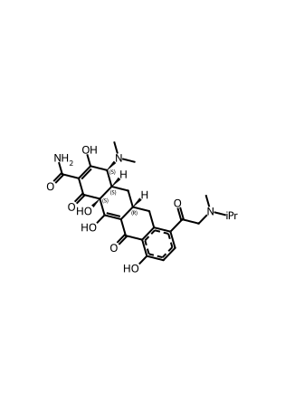 CC(C)N(C)CC(=O)c1ccc(O)c2c1C[C@H]1C[C@H]3[C@H](N(C)C)C(O)=C(C(N)=O)C(=O)[C@@]3(O)C(O)=C1C2=O